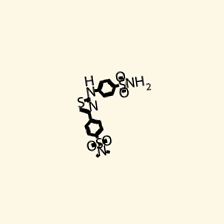 CN(C)S(=O)(=O)c1ccc(-c2csc(Nc3ccc(S(N)(=O)=O)cc3)n2)cc1